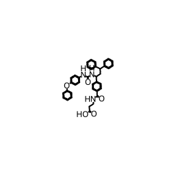 O=C(O)CCNC(=O)c1ccc(C(CC(c2ccccc2)c2ccccc2)NC(=O)Nc2ccc(Oc3ccccc3)cc2)cc1